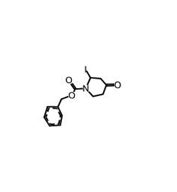 O=C1CCN(C(=O)OCc2ccccc2)C(I)C1